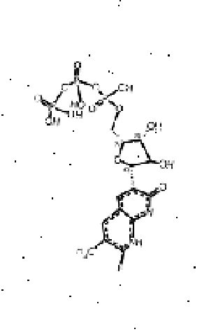 Cc1cc2cc([C@@H]3O[C@H](COP(=O)(O)OP(=O)(O)OP(=O)(O)O)[C@H](O)C3O)c(=O)nc-2[nH]c1F